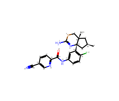 C[C@@H]1C[C@H]2CSC(N)=N[C@@]2(c2cc(NC(=O)c3ccc(C#N)cn3)ccc2F)C1